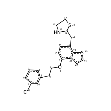 Clc1cccc(CCOc2ccc(CC3NCCS3)c3sccc23)c1